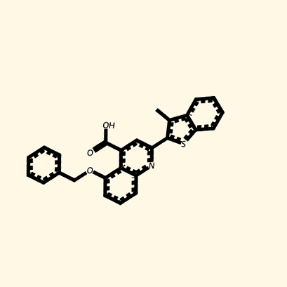 Cc1c(-c2cc(C(=O)O)c3c(OCc4ccccc4)cccc3n2)sc2ccccc12